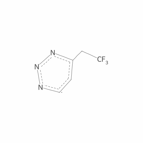 FC(F)(F)Cc1c[c]nnn1